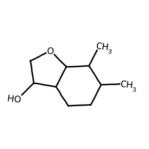 CC1CCC2C(O)COC2C1C